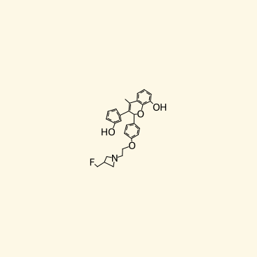 CC1=C(c2cccc(O)c2)C(c2ccc(OCCN3CC(CF)C3)cc2)Oc2c(O)cccc21